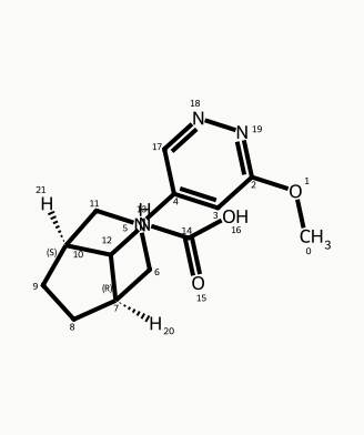 COc1cc(N2C[C@H]3CC[C@@H](C2)C3NC(=O)O)cnn1